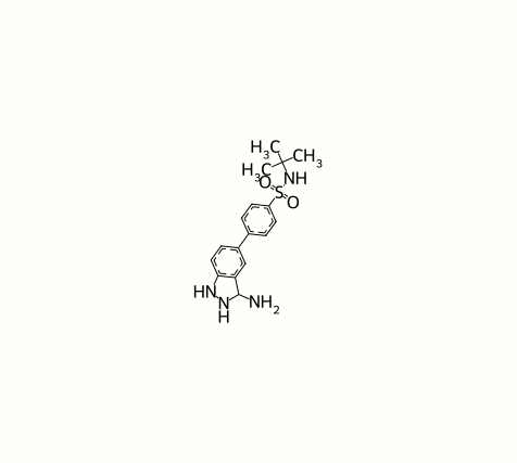 CC(C)(C)NS(=O)(=O)c1ccc(-c2ccc3c(c2)C(N)NN3)cc1